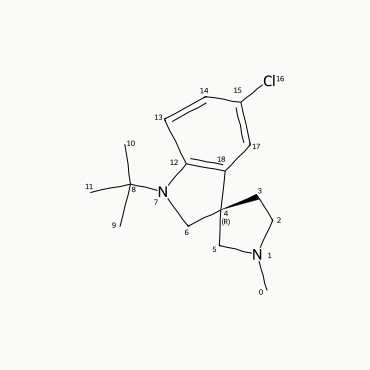 CN1CC[C@@]2(C1)CN(C(C)(C)C)c1ccc(Cl)cc12